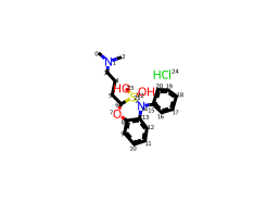 CN(C)CCCC1Oc2ccccc2N(c2ccccc2)S1(O)O.Cl